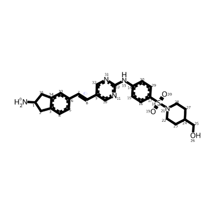 NC1Cc2ccc(/C=C/c3cnc(Nc4ccc(S(=O)(=O)N5CCC(CO)CC5)cc4)nc3)cc2C1